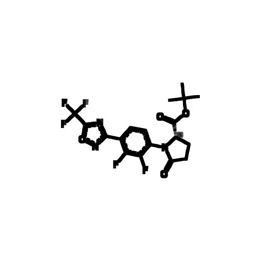 CC(C)(C)OC(=O)[C@@H]1CCC(=O)N1c1ccc(-c2noc(C(F)(F)F)n2)c(F)c1F